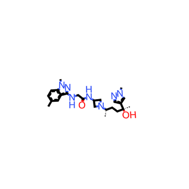 Cc1ccc2c(c1)c(NCC(=O)NC1CN([C@@H](C)CC[C@](C)(O)c3cnn(C)c3)C1)nn2C